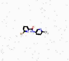 O=C(Nc1ccc(C(F)(F)F)nc1)c1cccc(Br)n1